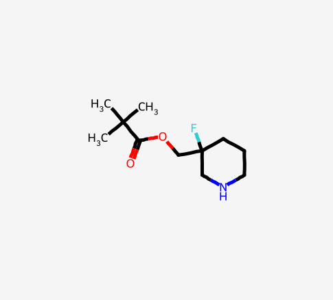 CC(C)(C)C(=O)OCC1(F)CCCNC1